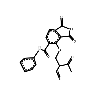 CC(=O)C(C=O)COc1c(C(=O)Nc2ccccc2)ccc2c1C(=O)NC2=O